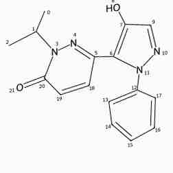 CC(C)n1nc(-c2c(O)cnn2-c2ccccc2)ccc1=O